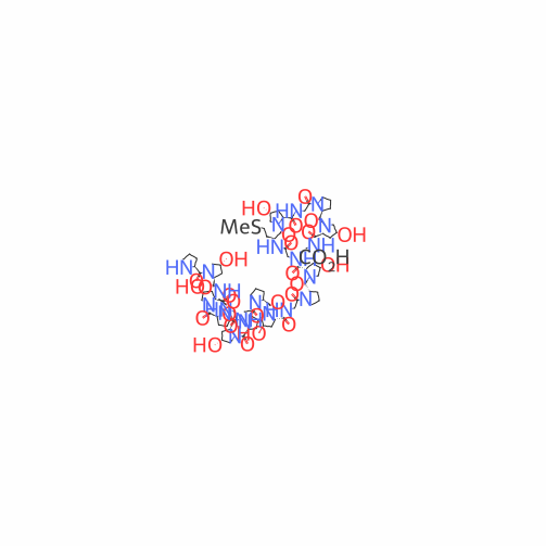 CSCC[C@H](NC(=O)CNC(=O)[C@@H]1C[C@@H](O)CN1C(=O)[C@@H]1CCCN1C(=O)CNC(=O)[C@@H]1C[C@@H](O)CN1C(=O)[C@@H]1CCCN1C(=O)CNC(=O)[C@@H]1C[C@@H](O)CN1C(=O)[C@@H]1CCCN1C(=O)CNC(=O)[C@@H]1C[C@@H](O)CN1C(=O)[C@@H]1CCCN1C(=O)CNC(=O)[C@@H]1C[C@@H](O)CN1C(=O)[C@@H]1CCCN1)C(=O)N1C[C@H](O)C[C@H]1C(=O)NCC(=O)N1CCC[C@H]1C(=O)N1C[C@H](O)C[C@H]1C(=O)NCC(=O)O